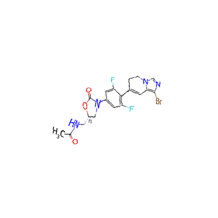 CC(=O)NC[C@H]1CN(c2cc(F)c(C3=Cc4c(Br)ncn4CC3)c(F)c2)C(=O)O1